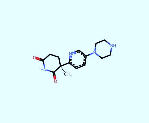 C[C@@]1(c2ccc(N3CCNCC3)cn2)CCC(=O)NC1=O